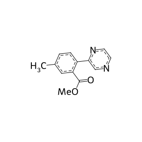 COC(=O)c1cc(C)ccc1-c1cnccn1